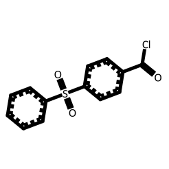 O=C(Cl)c1ccc(S(=O)(=O)c2ccccc2)cc1